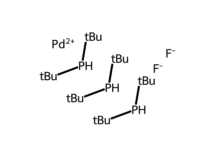 CC(C)(C)PC(C)(C)C.CC(C)(C)PC(C)(C)C.CC(C)(C)PC(C)(C)C.[F-].[F-].[Pd+2]